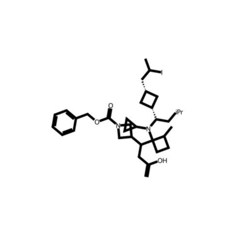 C=C(O)CC(C1CN(C(=O)OCc2ccccc2)C1)C1(N(C2CC2)C(CC(C)C)[C@H]2C[C@@H](CC(C)I)C2)CCC1C